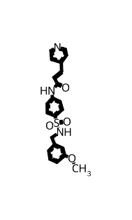 COc1cccc(CNS(=O)(=O)c2ccc(NC(=O)/C=C/c3ccncc3)cc2)c1